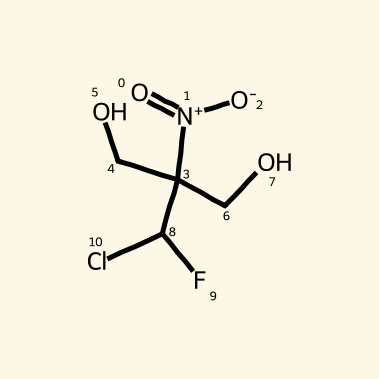 O=[N+]([O-])C(CO)(CO)C(F)Cl